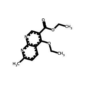 CCOC(=O)c1cnc2nc(C)ccc2c1OCC